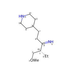 CC[C@H](COC)C(=N)CCC1CCNCC1